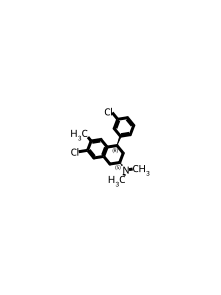 Cc1cc2c(cc1Cl)C[C@@H](N(C)C)C[C@@H]2c1cccc(Cl)c1